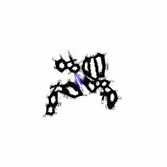 CC1(C)c2ccccc2-c2cc(N(c3ccc4c(c3)C(C)(C)c3cc5ccccc5cc3-4)c3ccc4c(c3)C3(c5ccccc5-c5ccccc53)c3ccc5c(c3-4)C(C)(C)c3ccccc3-5)ccc21